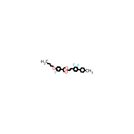 C=CCCCOc1ccc(C2COC(/C=C/c3ccc(C4CCC(C)CC4)c(F)c3F)OC2)cc1F